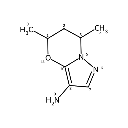 CC1CC(C)n2ncc(N)c2O1